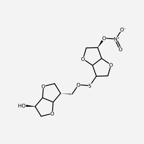 O=[N+]([O-])O[C@@H]1COC2C(SOC[C@H]3COC4C3OC[C@H]4O)COC21